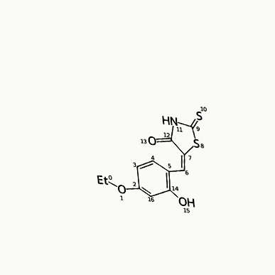 CCOc1ccc(C=C2SC(=S)NC2=O)c(O)c1